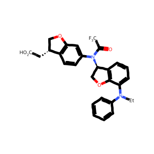 CCN(c1ccccc1)c1cccc2c1OC[C@H]2N(C(=O)C(F)(F)F)c1ccc2c(c1)OC[C@H]2CC(=O)O